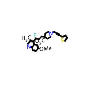 COc1ccc2ncc(C)c([C@H](F)CCC3(C(=O)O)CCN(CC#Cc4cccs4)CC3)c2c1